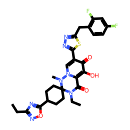 CCc1noc(C2CCC3(CC2)N(CC)C(=O)c2c(O)c(=O)c(-c4nnc(Cc5ccc(F)cc5F)s4)cn2N3C)n1